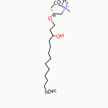 CCCCCCCCCCCCCCCCCCCC(O)CCO[C@H](CC(=O)O)C[N+](C)(C)C